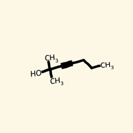 CCCC#CC(C)(C)O